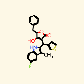 Cc1c(C(C2=C(O)C(Cc3ccccc3)OC2=O)c2ccsc2)[nH]c2ccc(F)cc12